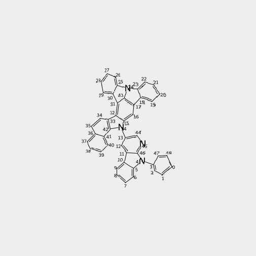 c1ccc(-n2c3ccccc3c3cc(-n4c5cc6c7ccccc7n7c8ccccc8c(c5c5ccc8ccccc8c54)c67)cnc32)cc1